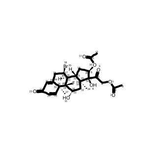 CC(=O)OCC(=O)[C@@]1(O)[C@H](OC(C)=O)C[C@H]2[C@@H]3[C@H](Br)CC4=CC(=O)C=C[C@]4(C)[C@@]3(F)[C@@H](O)C[C@@]21C